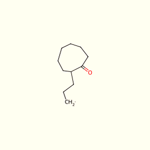 [CH2]CCC1CCCCCCC1=O